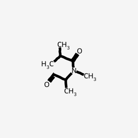 CC(C)C(=O)N(C)C(C)[C]=O